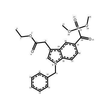 CCOC(=O)Cc1cn(Cc2ccccc2)c2ccc(C(=O)P(=O)(OC)OC)cc12